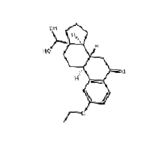 CCOc1ccc2c(c1)[C@H]1CC[C@]3(C(O)O)CCC[C@H]3[C@@H]1CC2=O